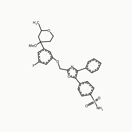 COC1(c2cc(F)cc(OCc3nc(-c4ccccc4)c(-c4ccc(S(N)(=O)=O)cc4)o3)c2)CCOC(C)C1